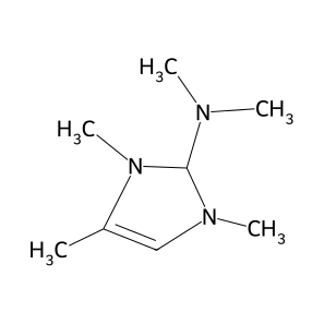 CC1=CN(C)C(N(C)C)N1C